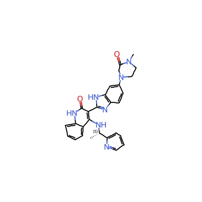 C[C@H](Nc1c(-c2nc3ccc(N4CCN(C)C(=O)C4)cc3[nH]2)c(=O)[nH]c2ccccc12)c1ccccn1